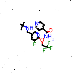 CC(C)(C)NCc1cnc(OCC(F)(F)F)c(F)c1.NC(=O)c1ccncc1